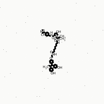 CCC(=C(c1ccc(O)cc1)c1ccc(OCCNC(=O)CCCCCCCC(=O)NC(C(=O)N2C[C@H](O)C[C@H]2C(=O)NCc2ccc(-c3scnc3C)cc2)C(C)(C)C)cc1)c1ccc(O)cc1